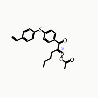 C=Cc1ccc(Sc2ccc(C(=O)/C(CCCC)=N/OC(C)=O)cc2)cc1